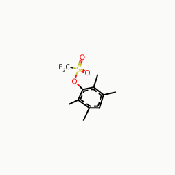 Cc1cc(C)c(C)c(OS(=O)(=O)C(F)(F)F)c1C